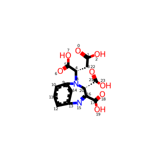 O=C(O)C[C@@H](C(=O)O)N1c2cccc(c2)N=C(C(=O)O)[C@H]1C(=O)O